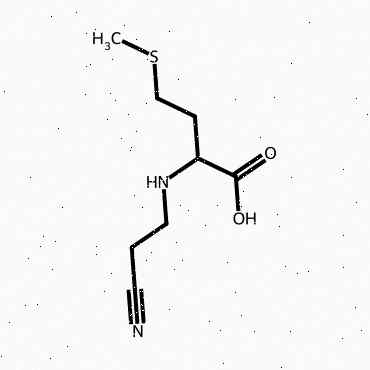 CSCCC(NCCC#N)C(=O)O